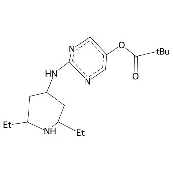 CCC1CC(Nc2ncc(OC(=O)C(C)(C)C)cn2)CC(CC)N1